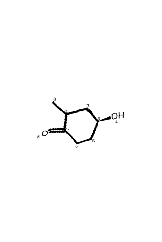 CC1C[C@@H](O)CCC1=O